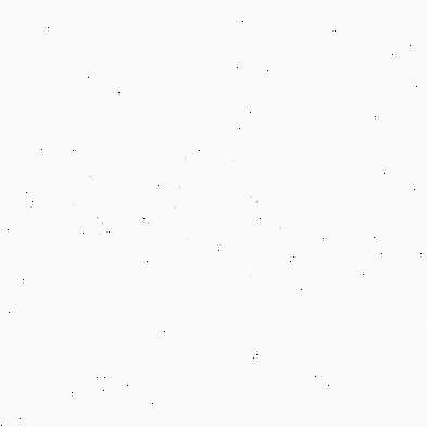 C[C@H](Nc1ccc(F)c(S(=O)(=O)Nc2nccs2)c1)c1cc(F)ccc1F